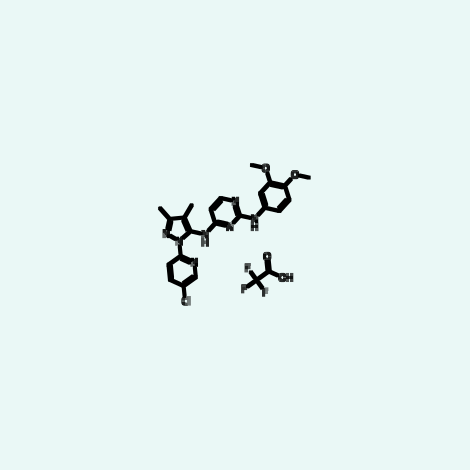 COc1ccc(Nc2nccc(Nc3c(C)c(C)nn3-c3ccc(Cl)cn3)n2)cc1OC.O=C(O)C(F)(F)F